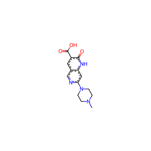 CN1CCN(c2cc3[nH]c(=O)c(C(=O)O)cc3cn2)CC1